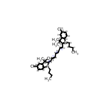 CCCCN1/C(=C/C=C/C=C/C=C/C2=[N+](CCCC)c3ccc(Cl)cc3C2(C)C)C(C)(C)c2cc(Cl)ccc21